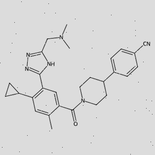 Cc1cc(C2CC2)c(-c2nnc(CN(C)C)[nH]2)cc1C(=O)N1CCC(c2ccc(C#N)cc2)CC1